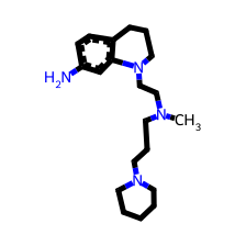 CN(CCCN1CCCCC1)CCN1CCCc2ccc(N)cc21